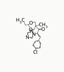 CCC1OCC(C)(C(=O)C(=Cc2ccc(Cl)cc2)n2cncn2)CO1